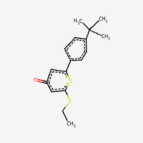 CCSc1cc(=O)cc(-c2ccc(C(C)(C)C)cc2)s1